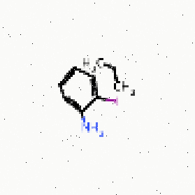 CCC.Nc1ccccc1I